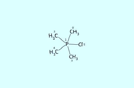 CP(C)(C)(C)Cl